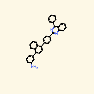 Nc1cccc(-c2ccc(-c3ccc(-c4nc(-c5ccccc5)c5ccccc5n4)cc3)c3ccccc23)c1